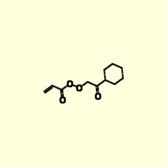 C=CC(=O)OOCC(=O)C1CCCCC1